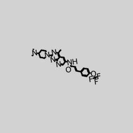 Cc1nc(N2CCC(N(C)C)CC2)nc2ncc(NC(=O)/C=C/c3ccc(OC(F)(F)F)cc3)cc12